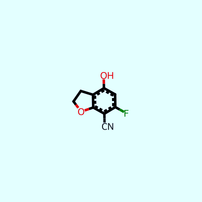 N#Cc1c(F)cc(O)c2c1OCC2